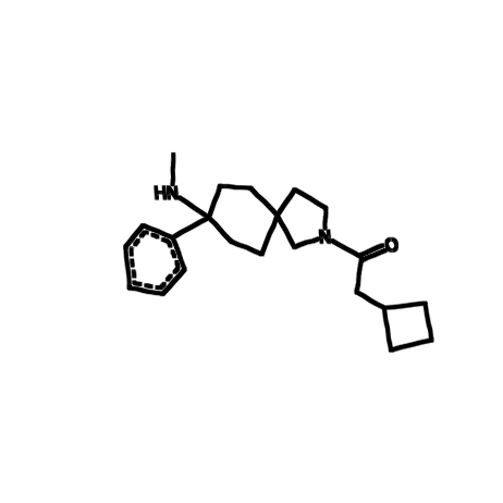 CNC1(c2ccccc2)CCC2(CCN(C(=O)CC3CCC3)C2)CC1